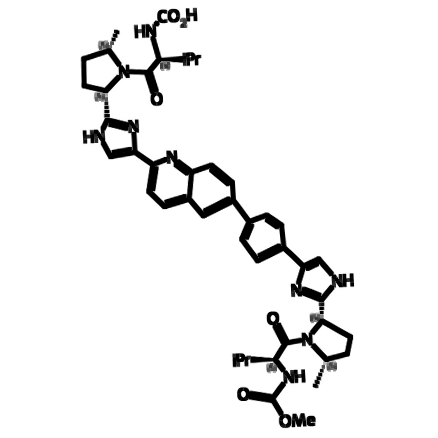 COC(=O)N[C@H](C(=O)N1[C@@H](C)CC[C@H]1c1nc(-c2ccc(-c3ccc4nc(-c5c[nH]c([C@@H]6CC[C@H](C)N6C(=O)[C@@H](NC(=O)O)C(C)C)n5)ccc4c3)cc2)c[nH]1)C(C)C